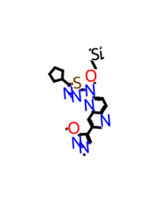 COc1nn(C)cc1-c1cnc2ccc(N(COCC[Si](C)(C)C)c3nnc(C4CCCC4)s3)nc2c1